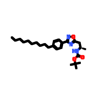 CCCCCCCCCCc1ccc(-c2noc(C[C@H](C)NC(=O)OC(C)(C)C)n2)cc1